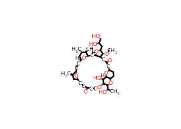 C=C1CC2CCC(=O)CCOC3C(C(C)O)OC4CCC(CC(=O)CC5[C@@H](OC)C(CC(O)CO)O[C@H]5CC5O[C@@H](CCC1O2)C[C@@H](C)C5=C)O[C@@H]4C3O